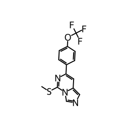 CSc1nc(-c2ccc(OC(F)(F)F)cc2)cc2cncn12